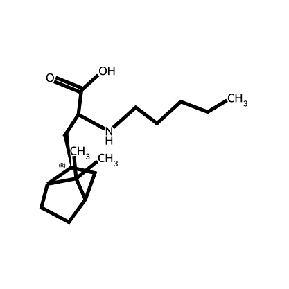 CCCCCNC(C[C@H]1CC2CCC1C2(C)C)C(=O)O